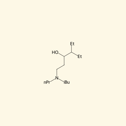 CCCN(CCC(O)C(CC)CC)C(C)CC